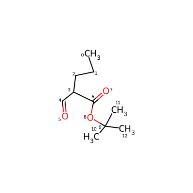 CCCC([C]=O)C(=O)OC(C)(C)C